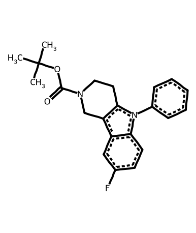 CC(C)(C)OC(=O)N1CCc2c(c3cc(F)ccc3n2-c2ccccc2)C1